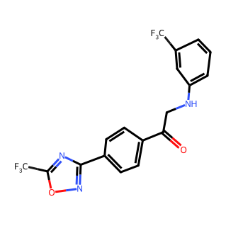 O=C(CNc1cccc(C(F)(F)F)c1)c1ccc(-c2noc(C(F)(F)F)n2)cc1